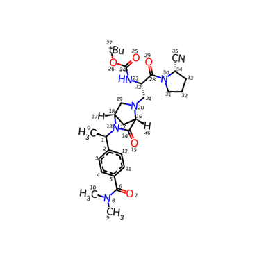 C[C@H](c1ccc(C(=O)N(C)C)cc1)N1C(=O)[C@@H]2C[C@H]1CN2C[C@H](NC(=O)OC(C)(C)C)C(=O)N1CCC[C@H]1C#N